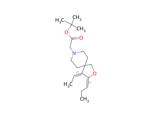 C/C=C1\C(=C/CC)OCC12CCN(CC(=O)OC(C)(C)C)CC2